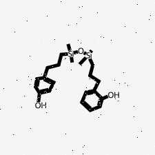 C[Si](C)(CCCc1ccc(O)cc1)O[Si](C)(C)CCCc1ccccc1O